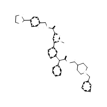 Cn1nc(C(=O)NCc2ccc(C3OCCO3)cc2)cc1-c1cccc(C(C(=O)OCC2CCN(Cc3ccccc3)CC2)c2ccccc2)c1